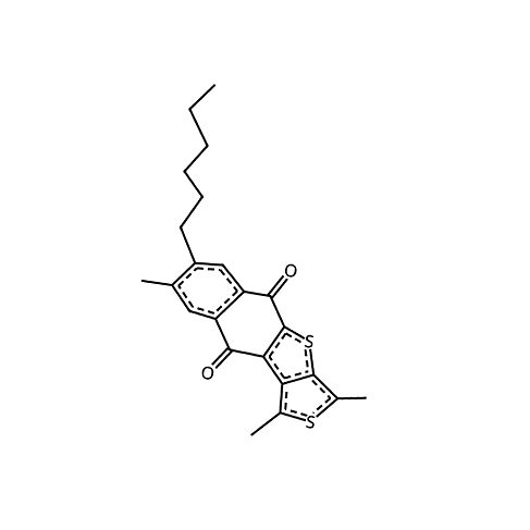 CCCCCCc1cc2c(cc1C)C(=O)c1c(sc3c(C)sc(C)c13)C2=O